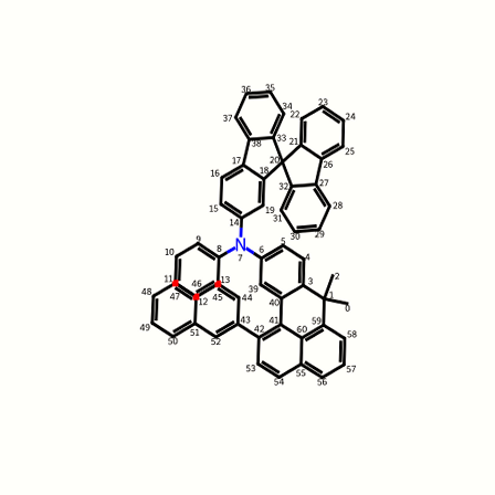 CC1(C)c2ccc(N(c3ccccc3)c3ccc4c(c3)C3(c5ccccc5-c5ccccc53)c3ccccc3-4)cc2-c2c(-c3ccc4ccccc4c3)ccc3cccc1c23